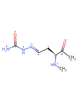 CN[C@@H](C/C=N/NC(N)=O)C(C)=O